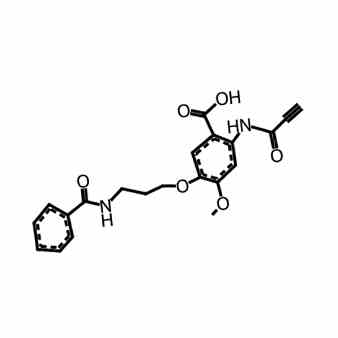 C#CC(=O)Nc1cc(OC)c(OCCCNC(=O)c2ccccc2)cc1C(=O)O